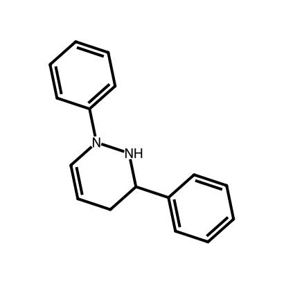 C1=CN(c2ccccc2)NC(c2ccccc2)C1